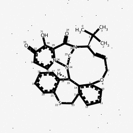 CC(C)(C)[C@H]1/C=C/COc2cccc3c2[C@@H](c2ccccc2SC3)N2CN1C(=O)c1c(O)c(=O)ccn12